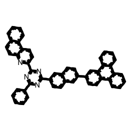 c1ccc(-c2nc(-c3ccc4cc(-c5ccc6c7ccccc7c7ccccc7c6c5)ccc4c3)nc(-c3ccc4c(ccc5ccccc54)n3)n2)cc1